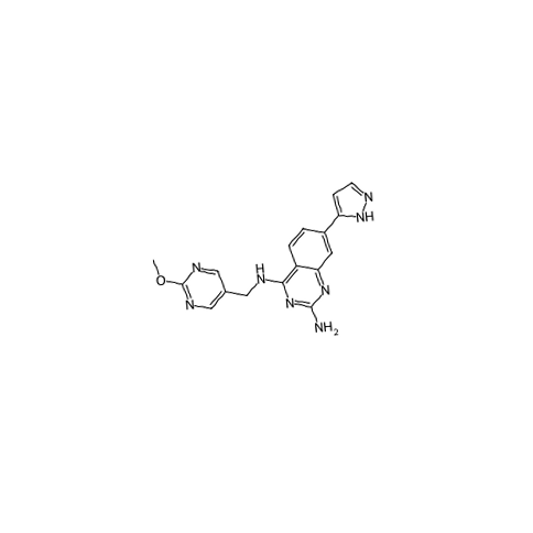 COc1ncc(CNc2nc(N)nc3cc(-c4ccn[nH]4)ccc23)cn1